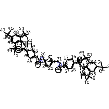 CC(C)(C)c1cc(C(C)(C)C)c(NC(=O)c2ccc(/[N+]([O-])=C/c3ccc(/C=[N+](\[O-])c4ccc(C(=O)Nc5c(C(C)(C)C)cc(C(C)(C)C)cc5C(C)(C)C)cc4)s3)cc2)c(C(C)(C)C)c1